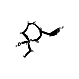 CC[N+]1([O-])CCOC(C#N)C1